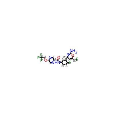 C[C@@]1(c2cc(NC(=O)c3cnc(OCC(F)(F)F)cn3)ccc2F)C=C(CF)OC(N)=N1